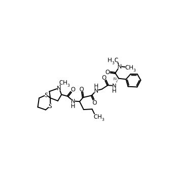 CCCC(NC(=O)C1CC2(CN1C)SCCCS2)C(=O)C(=O)NCC(=O)N[C@H](C(=O)N(C)C)c1ccccc1